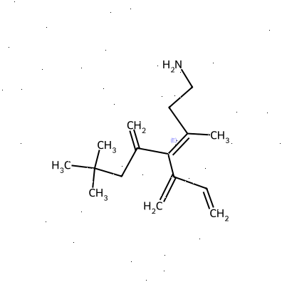 C=CC(=C)/C(C(=C)CC(C)(C)C)=C(\C)CCN